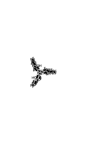 OCCN(CC(F)(F)OC(F)(F)OC(F)(F)C(F)(F)OC(F)(F)F)c1nc(N(CCO)CC(F)(F)OC(F)(F)OC(F)(F)C(F)(F)OC(F)(F)F)nc(N(CCO)CC(F)(F)OC(F)(F)OC(F)(F)C(F)(F)OC(F)(F)F)n1